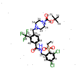 CCS(=O)(=O)c1c(Cl)cc(Cl)cc1CNC(=O)c1ccc(CN2CCN(C(=O)OC(C)(C)C)CC2)c(C(F)(F)F)c1